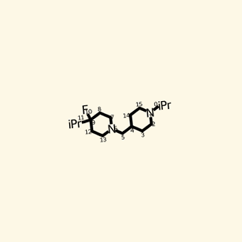 CC(C)N1CCC(CN2CCC(F)(C(C)C)CC2)CC1